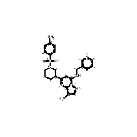 Bc1ccc(S(=O)(=O)N2CCCC(c3cc(NCc4cccnc4)n4ncc(B)c4n3)C2)cc1